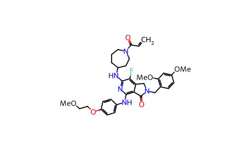 C=CC(=O)N1CCCC(Nc2nc(Nc3ccc(OCCOC)cc3)c3c(c2F)CN(Cc2ccc(OC)cc2OC)C3=O)CC1